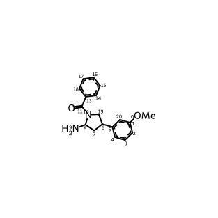 COc1cccc(C2CC(N)N(C(=O)c3ccccc3)C2)c1